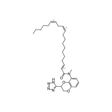 CCCCC/C=C\C/C=C\CCCCCCC/C=C/C(=O)N(C)c1cccc2c1OC(c1nnn[nH]1)CO2